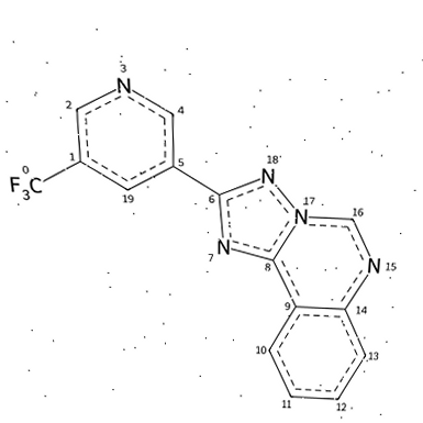 FC(F)(F)c1cncc(-c2nc3c4ccccc4ncn3n2)c1